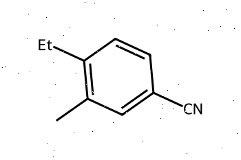 [CH2]Cc1ccc(C#N)cc1C